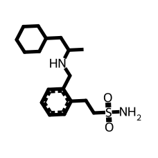 CC(CC1CCCCC1)NCc1ccccc1CCS(N)(=O)=O